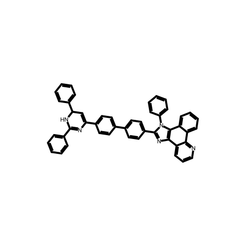 C1=C(c2ccc(-c3ccc(-c4nc5c6cccnc6c6ccccc6c5n4-c4ccccc4)cc3)cc2)N=C(c2ccccc2)NC1c1ccccc1